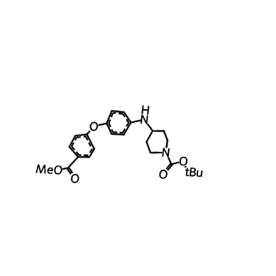 COC(=O)c1ccc(Oc2ccc(NC3CCN(C(=O)OC(C)(C)C)CC3)cc2)cc1